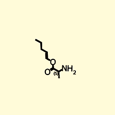 CCCC=COC(=O)[C@H](C)N